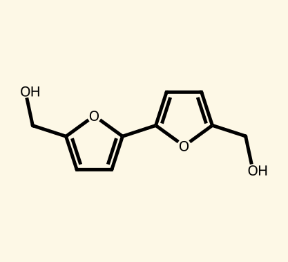 OCc1ccc(-c2ccc(CO)o2)o1